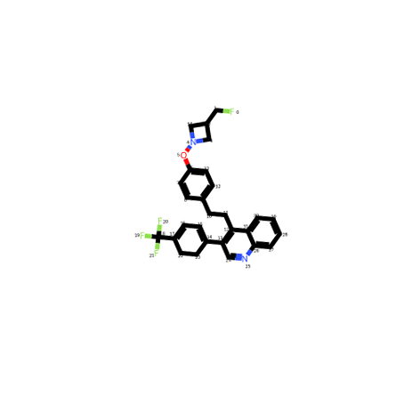 FCC1CN(Oc2ccc(CCc3c(C4=CC=C(C(F)(F)F)CC4)cnc4ccccc34)cc2)C1